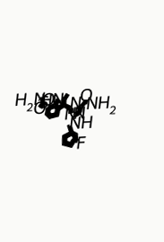 Cc1[nH]c2c(S(N)(=O)=O)cccc2c1-c1nc(NCc2cccc(F)c2)nc(C(N)=O)n1